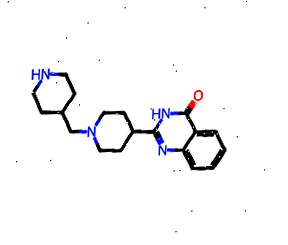 O=c1[nH]c(C2CCN(CC3CCNCC3)CC2)nc2ccccc12